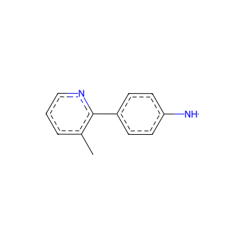 Cc1cccnc1-c1ccc([NH])cc1